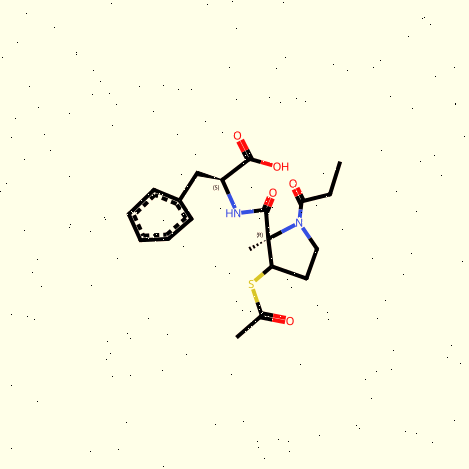 CCC(=O)N1CCC(SC(C)=O)[C@@]1(C)C(=O)N[C@@H](Cc1ccccc1)C(=O)O